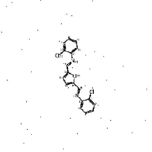 Clc1ccccc1N=Cc1ccc(C=Nc2ccccc2Cl)o1